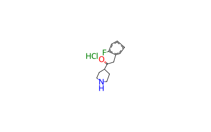 Cl.O=C(Cc1ccccc1F)C1CCNCC1